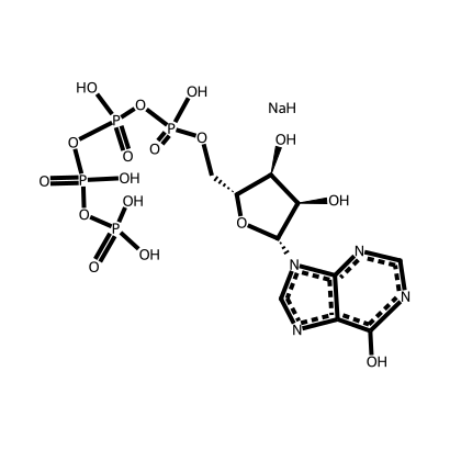 O=P(O)(O)OP(=O)(O)OP(=O)(O)OP(=O)(O)OC[C@H]1O[C@@H](n2cnc3c(O)ncnc32)[C@H](O)[C@@H]1O.[NaH]